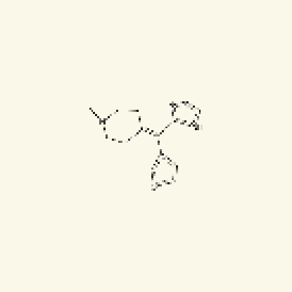 CN1CCC(=C(c2ccoc2)c2ncc[nH]2)CC1